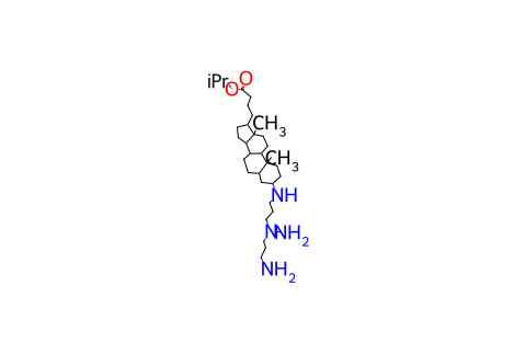 CC(C)OC(=O)CCCC1CCC2C3CCC4CC(NCCCN(N)CCCN)CCC4(C)C3CCC12C